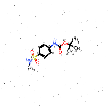 CNS(=O)(=O)c1ccc(NC(=O)OC(C)(C)C)cc1